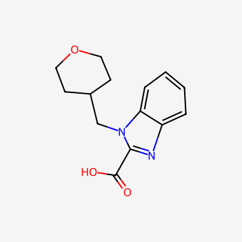 O=C(O)c1nc2ccccc2n1CC1CCOCC1